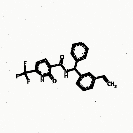 C=Cc1cccc(C(NC(=O)c2ccc(C(F)(F)F)[nH]c2=O)c2ccccc2)c1